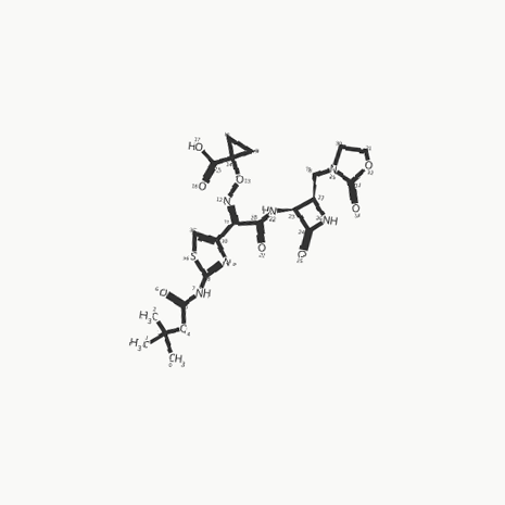 CC(C)(C)OC(=O)Nc1nc(/C(=N/OC2(C(=O)O)CC2)C(=O)N[C@@H]2C(=O)N[C@@H]2CN2CCOC2=O)cs1